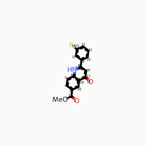 COC(=O)c1ccc2[nH]c(-c3cccc(F)c3)cc(=O)c2c1